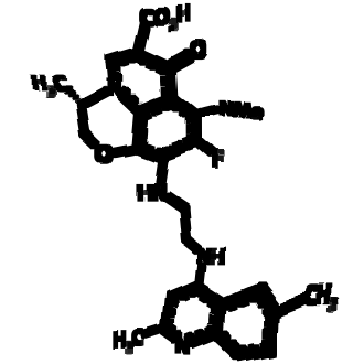 CNc1c(F)c(NCCNc2cc(C)nc3ccc(C)cc23)c2c3c1c(=O)c(C(=O)O)cn3[C@@H](C)CO2